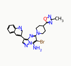 Cc1noc(C2CCN(c3nc4c(-c5cnc6ccccc6c5)cnn4c(N)c3Br)CC2)n1